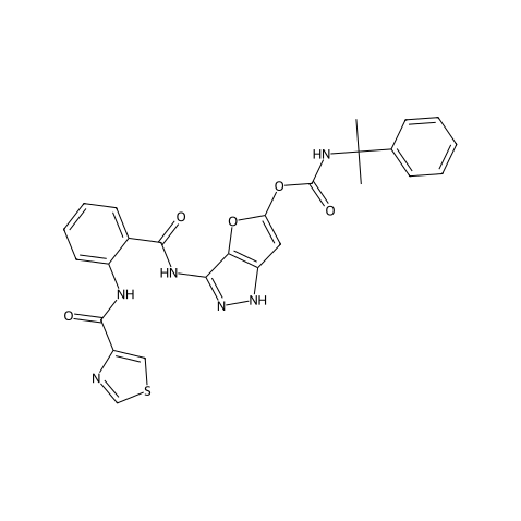 CC(C)(NC(=O)Oc1cc2[nH]nc(NC(=O)c3ccccc3NC(=O)c3cscn3)c2o1)c1ccccc1